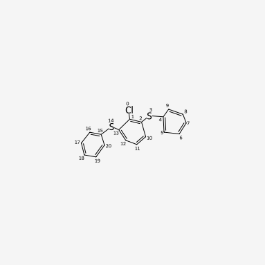 Clc1c(Sc2ccccc2)cccc1Sc1ccccc1